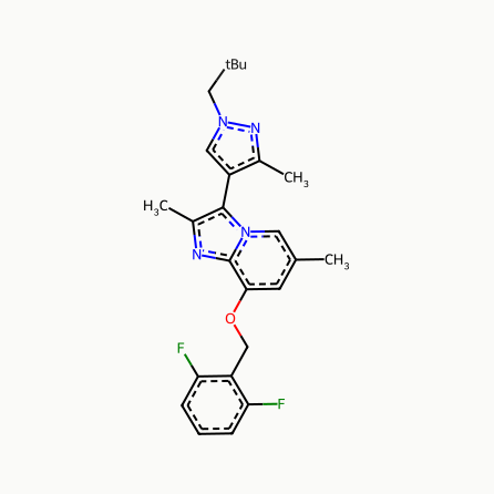 Cc1cc(OCc2c(F)cccc2F)c2nc(C)c(-c3cn(CC(C)(C)C)nc3C)n2c1